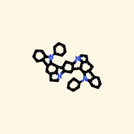 c1ccc(-n2c3ccccc3c3cc4ccn5c6cc7c8c9c(cc%10ccn(c7cc6c(c32)c45)c%108)c2ccccc2n9-c2ccccc2)cc1